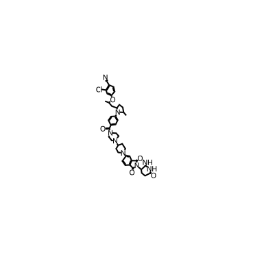 CC(CC1CCC(C)N1c1ccc(C(=O)N2CCN(C3CCN(c4ccc5c(c4)C(=O)N(C4CCC(=O)NC4=N)C5=O)CC3)CC2)cc1)Oc1ccc(C#N)c(Cl)c1